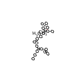 CC1(C)c2cc(-c3ccc4c(c3)sc3c(-c5ccc(N(c6ccc(-c7ccc(-c8ccccc8)cc7)cc6)c6ccc(-c7cccc8c7oc7ccccc78)cc6)cc5)cccc34)ccc2-c2ccc(N(c3ccc(-c4ccccc4)cc3)c3cccc4c3-c3ccccc3C4(c3ccccc3)c3ccccc3)cc21